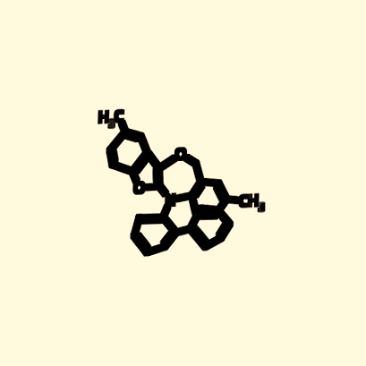 Cc1ccc2c(c1)COc1c(oc3ccc(C)cc13)N2c1ccccc1-c1ccccc1